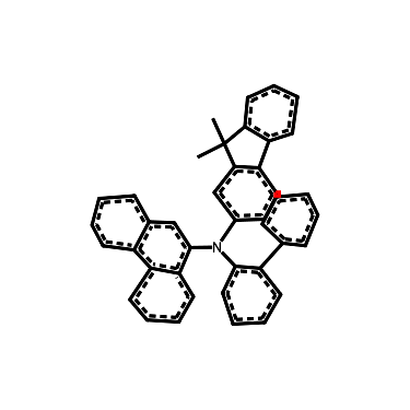 CC1(C)c2ccccc2-c2ccc(N(c3ccccc3-c3ccccc3)c3cc4ccccc4c4ccccc34)cc21